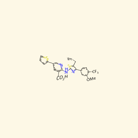 COc1cc(-c2nc(Nc3ncc(-c4cccs4)cc3C(=O)O)sc2CC(C)C)ccc1C(F)(F)F